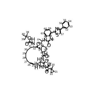 CC(C)n1c(O[C@@H]2C[C@H]3C(=O)N[C@]4(C(=O)NS(=O)(=O)C5(C)CC5)C[C@H]4/C=C\CCCCC[C@H](NC(=O)OC(C)(C)C)C(=O)N3C2)nc2c(-c3nc(-c4ccccc4)cs3)cccc21